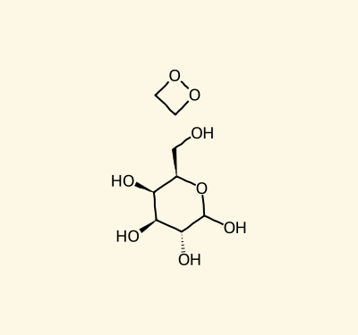 C1COO1.OC[C@H]1OC(O)[C@H](O)[C@@H](O)[C@H]1O